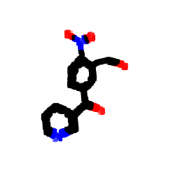 O=Cc1cc(C(=O)c2cccnc2)ccc1[N+](=O)[O-]